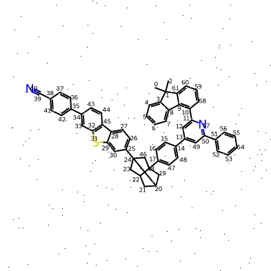 CC1(C)c2ccccc2-c2c(-c3cc(-c4ccc(C56CC7CC5CC7(c5ccc7c(c5)sc5cc(-c8ccc(C#N)cc8)ccc57)C6)cc4)cc(-c4ccccc4)n3)cccc21